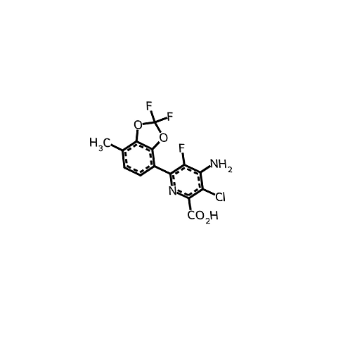 Cc1ccc(-c2nc(C(=O)O)c(Cl)c(N)c2F)c2c1OC(F)(F)O2